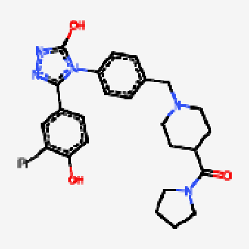 CC(C)c1cc(-c2nnc(O)n2-c2ccc(CN3CCC(C(=O)N4CCCC4)CC3)cc2)ccc1O